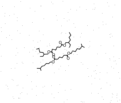 CC(C)CCCCCOC(=O)CCCCC(=O)OCCCCCC(C)C.CCCCC(CC)COC(=O)CCCCC(=O)OCC(CC)CCCC